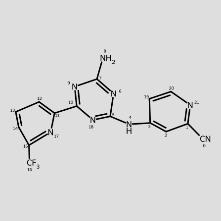 N#Cc1cc(Nc2nc(N)nc(-c3cccc(C(F)(F)F)n3)n2)ccn1